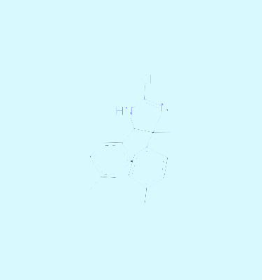 Cc1ccc(C2NC(Cl)=NC2(C)c2ccc(C)cc2)cc1